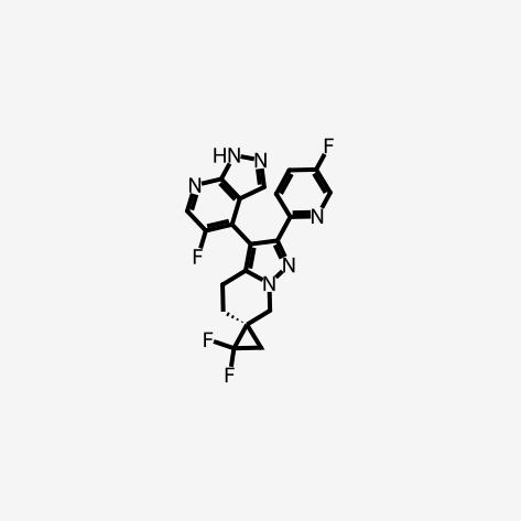 Fc1ccc(-c2nn3c(c2-c2c(F)cnc4[nH]ncc24)CC[C@]2(C3)CC2(F)F)nc1